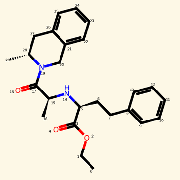 CCOC(=O)[C@H](CCc1ccccc1)N[C@@H](C)C(=O)N1Cc2ccccc2C[C@H]1C